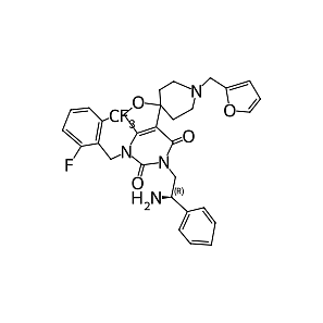 N[C@@H](Cn1c(=O)c2c(n(Cc3c(F)cccc3C(F)(F)F)c1=O)COC21CCN(Cc2ccco2)CC1)c1ccccc1